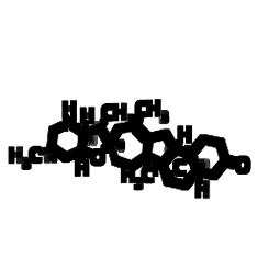 CC1=C2C[C@H]3C(CC[C@@H]4CC(=O)CC[C@@]43C)C2(C)CC[C@@]2(C1)O[C@@H]1C[C@H](C)CN[C@H]1[C@H]2C